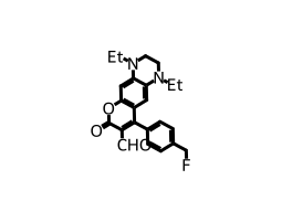 CCN1CCN(CC)c2cc3c(-c4ccc(CF)cc4)c(C=O)c(=O)oc3cc21